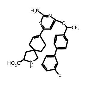 Nc1nc(O[C@H](c2ccc(-c3cccc(F)c3)cc2)C(F)(F)F)cc(C2=CCC3(CC2)CNC(C(=O)O)C3)n1